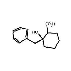 O=C(O)C1CCCCC1(O)Cc1ccccc1